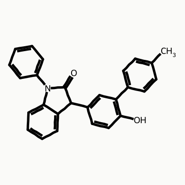 Cc1ccc(-c2cc(C3C(=O)N(c4ccccc4)c4ccccc43)ccc2O)cc1